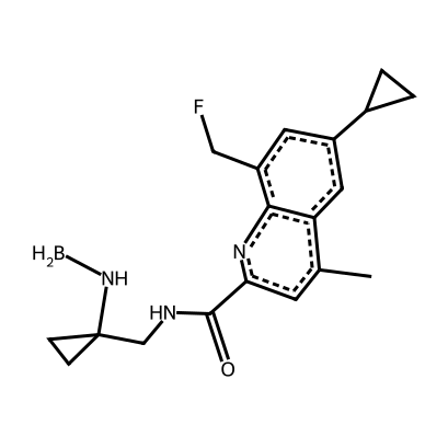 BNC1(CNC(=O)c2cc(C)c3cc(C4CC4)cc(CF)c3n2)CC1